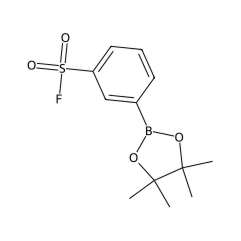 CC1(C)OB(c2cccc(S(=O)(=O)F)c2)OC1(C)C